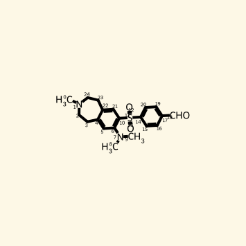 CN1CCc2cc(N(C)C)c(S(=O)(=O)c3ccc(C=O)cc3)cc2CC1